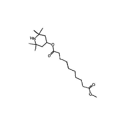 COC(=O)CCCCCCCCC(=O)OC1CC(C)(C)NC(C)(C)C1